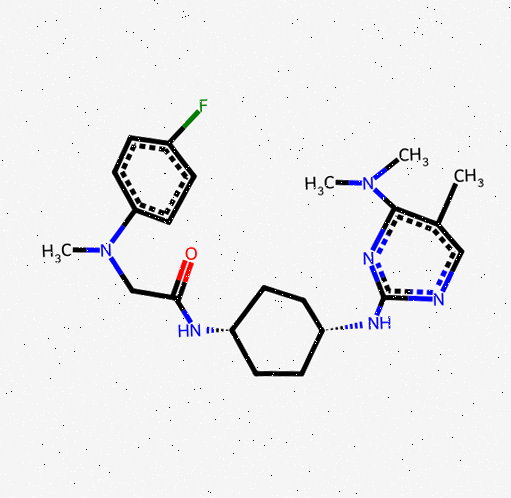 Cc1cnc(N[C@H]2CC[C@@H](NC(=O)CN(C)c3ccc(F)cc3)CC2)nc1N(C)C